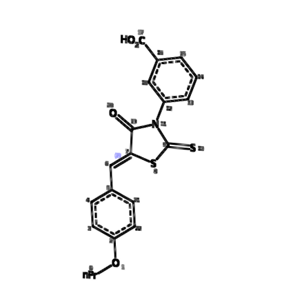 CCCOc1ccc(/C=C2\SC(=S)N(c3cccc(C(=O)O)c3)C2=O)cc1